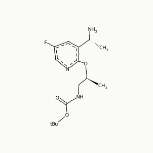 C[C@@H](CNC(=O)OC(C)(C)C)Oc1ncc(F)cc1[C@@H](C)N